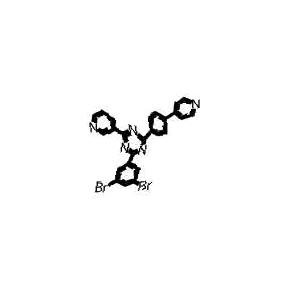 Brc1cc(Br)cc(-c2nc(-c3ccc(-c4ccncc4)cc3)nc(-c3cccnc3)n2)c1